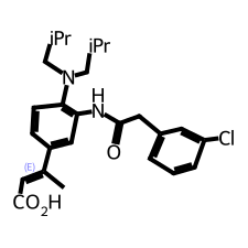 C/C(=C\C(=O)O)c1ccc(N(CC(C)C)CC(C)C)c(NC(=O)Cc2cccc(Cl)c2)c1